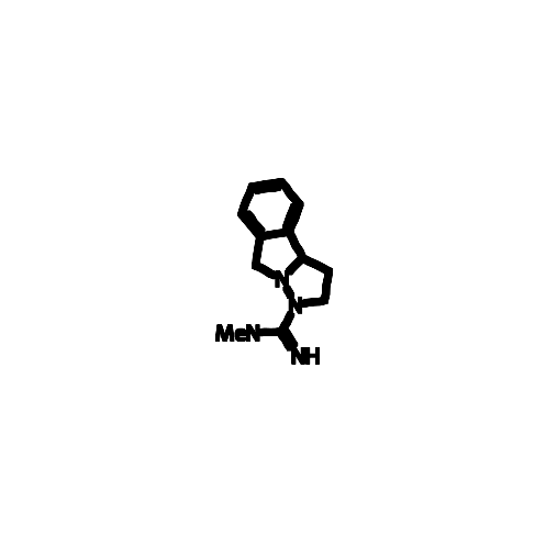 CNC(=N)N1CCC2c3ccccc3CN21